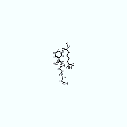 COC(=O)CCCCC(=O)O.O=C(O)c1ccccc1.OCCOCCO